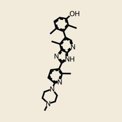 Cc1ccc(O)c(C)c1-c1cnc2[nH]c(-c3ccc(N4CCN(C)CC4)nc3C)nc2c1C